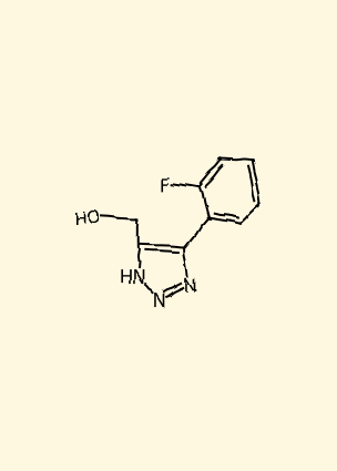 OCc1[nH]nnc1-c1ccccc1F